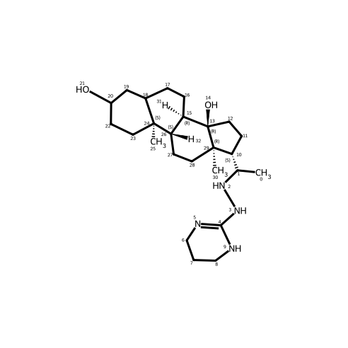 CC(NNC1=NCCCN1)[C@H]1CC[C@@]2(O)[C@@H]3CCC4CC(O)CC[C@]4(C)[C@H]3CC[C@]12C